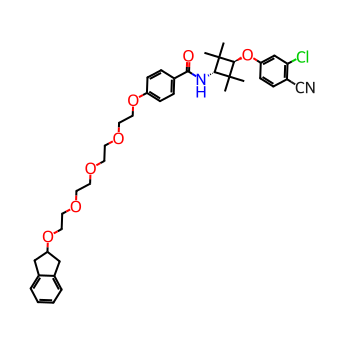 CC1(C)[C@H](NC(=O)c2ccc(OCCOCCOCCOCCOC3Cc4ccccc4C3)cc2)C(C)(C)[C@H]1Oc1ccc(C#N)c(Cl)c1